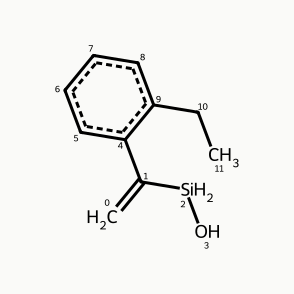 C=C([SiH2]O)c1ccccc1CC